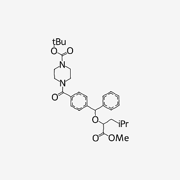 COC(=O)C(CC(C)C)OC(c1ccccc1)c1ccc(C(=O)N2CCN(C(=O)OC(C)(C)C)CC2)cc1